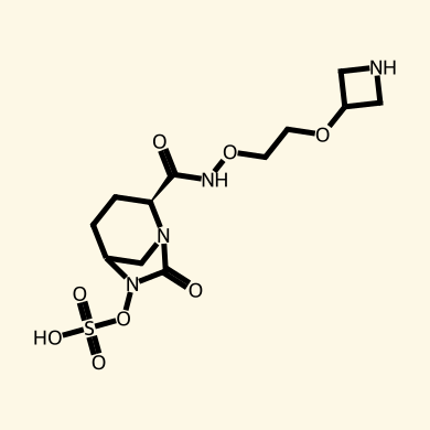 O=C(NOCCOC1CNC1)[C@@H]1CCC2CN1C(=O)N2OS(=O)(=O)O